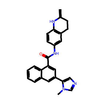 C=C1CCc2cc(NC(=O)c3cc(-c4cncn4C)cc4ccccc34)ccc2N1